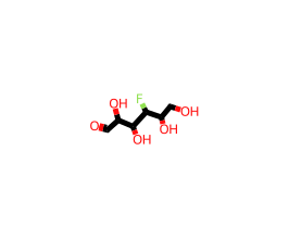 O=CC(O)C(O)C(F)C(O)CO